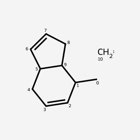 CC1C=CCC2C=CCC12.[CH2]